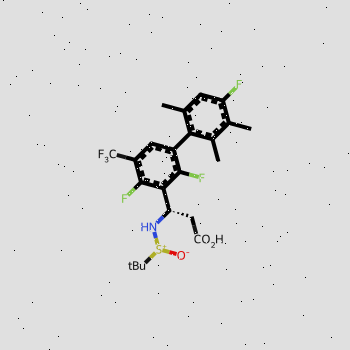 Cc1cc(F)c(C)c(C)c1-c1cc(C(F)(F)F)c(F)c([C@H](CC(=O)O)N[S+]([O-])C(C)(C)C)c1F